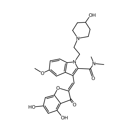 COc1ccc2c(c1)c(/C=C1\Oc3cc(O)cc(O)c3C1=O)c(C(=O)N(C)C)n2CCN1CCC(O)CC1